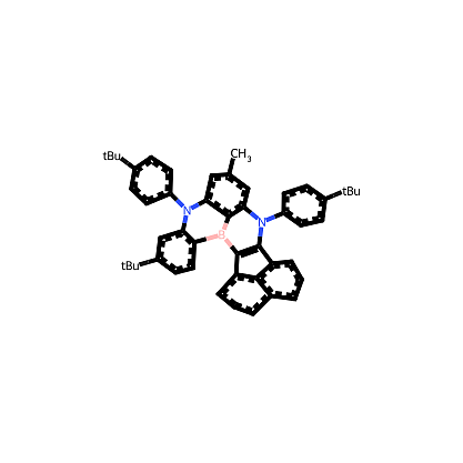 Cc1cc2c3c(c1)N(c1ccc(C(C)(C)C)cc1)c1cc(C(C)(C)C)ccc1B3C1=C(c3cccc4cccc1c34)N2c1ccc(C(C)(C)C)cc1